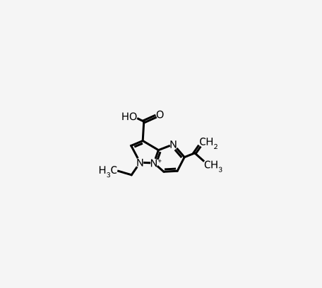 C=C(C)c1cc[n+]2c(n1)c(C(=O)O)cn2CC